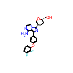 Nc1nccn2c([C@@H]3CC[C@@H](CO)OC3)nc(-c3ccc(Oc4cccc(F)c4F)cc3)c12